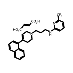 FC(F)(F)c1cccc(NCCCN2CC=C(c3cccc4ccccc34)CC2)n1.O=C(O)C=CC(=O)O